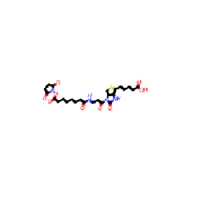 O=C(O)CCCCC1SCC2C1NC(=O)N2C(=O)CCNC(=O)CCCCCCC(=O)ON1C(=O)CCC1=O